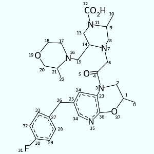 CC1CN(C(=O)CN2CC(C)N(C(=O)O)CC2CN2CCOCC2C)c2cc(Cc3ccc(F)cc3)cnc2O1